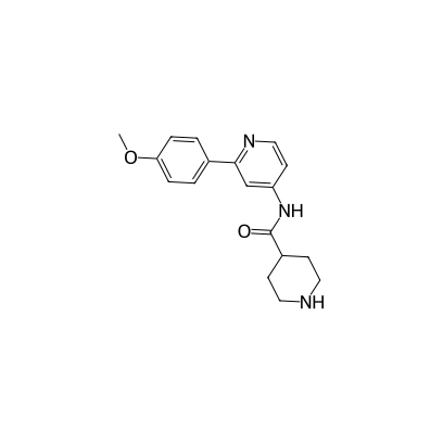 COc1ccc(-c2cc(NC(=O)C3CCNCC3)ccn2)cc1